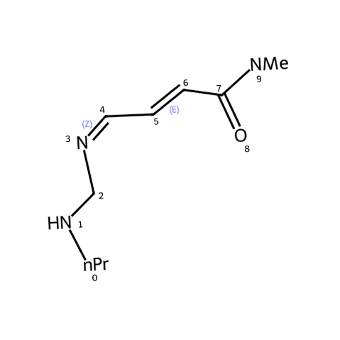 CCCNC/N=C\C=C\C(=O)NC